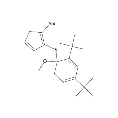 COC1(SC2=[C]([Sn])CC=C2)CC=C(C(C)(C)C)C=C1C(C)(C)C